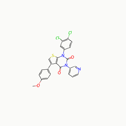 COc1ccc(-c2csc3c2c(=O)n(-c2cccnc2)c(=O)n3-c2ccc(Cl)c(Cl)c2)cc1